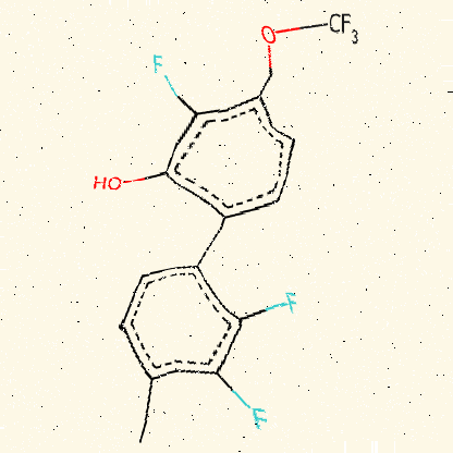 Cc1ccc(-c2ccc(OC(F)(F)F)c(F)c2O)c(F)c1F